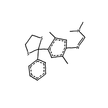 Cc1cc(C2(c3ccccc3)SCCS2)c(C)cc1/N=C\N(C)C